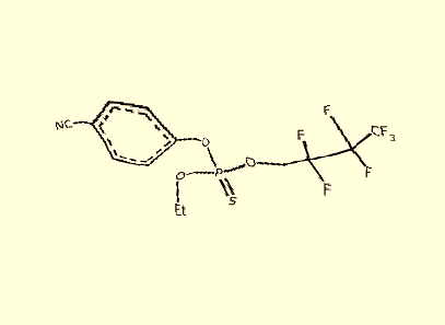 CCOP(=S)(OCC(F)(F)C(F)(F)C(F)(F)F)Oc1ccc(C#N)cc1